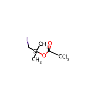 C[Si](C)(CI)OC(=O)C(Cl)(Cl)Cl